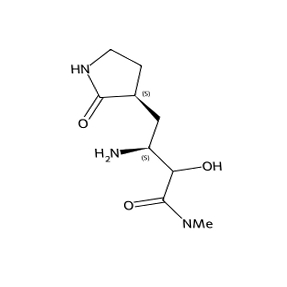 CNC(=O)C(O)[C@@H](N)C[C@@H]1CCNC1=O